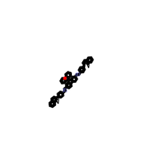 C1=CCC(C2(c3ccccc3)C3=C(CCC(/C=C/c4ccc(-c5ccc6ccccc6n5)cc4)=C3)c3ccc(/C=C/C4=CC=C(c5ccc6ccccc6n5)CC4)cc32)C=C1